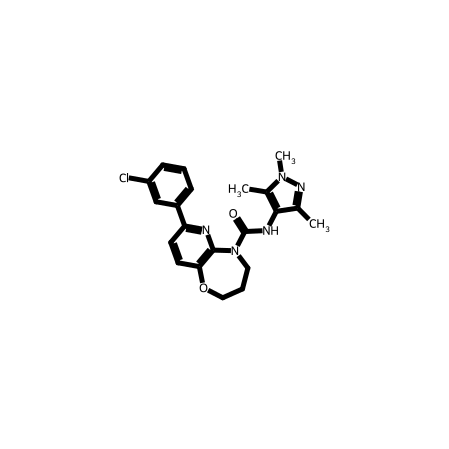 Cc1nn(C)c(C)c1NC(=O)N1CCCOc2ccc(-c3cccc(Cl)c3)nc21